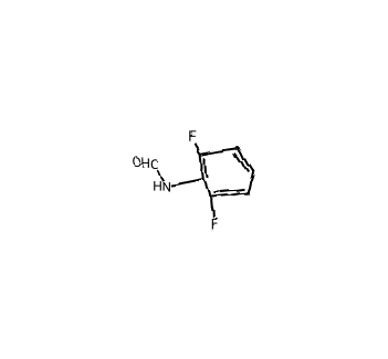 O=CNc1c(F)cccc1F